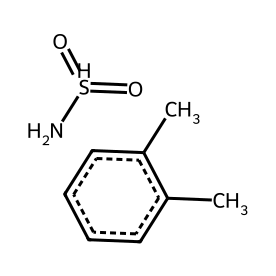 Cc1ccccc1C.N[SH](=O)=O